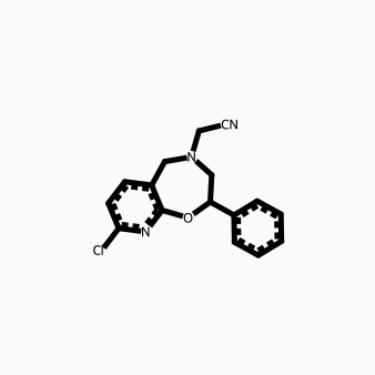 N#CCN1Cc2ccc(Cl)nc2OC(c2ccccc2)C1